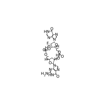 Nc1nc2c(ncn2[C@@H]2O[C@@H]3CO[PH](=O)O[C@H]4[C@H](F)[C@H](n5cnc6c(=O)[nH]cnc65)O[C@@H]4CO[PH](=O)O[C@@H]2C3)c(=O)[nH]1